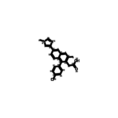 Cc1cc2cc(-c3cn(C)cn3)ccc2c(-c2ccc(Cl)cc2)c1CC(=O)O